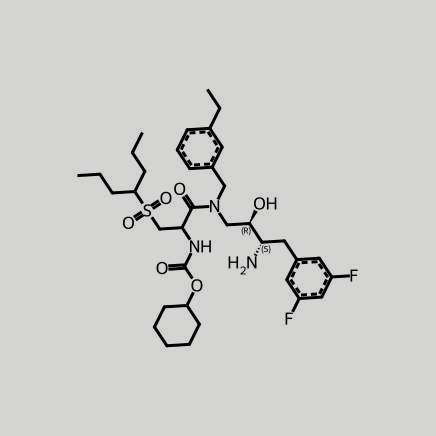 CCCC(CCC)S(=O)(=O)CC(NC(=O)OC1CCCCC1)C(=O)N(Cc1cccc(CC)c1)C[C@@H](O)[C@@H](N)Cc1cc(F)cc(F)c1